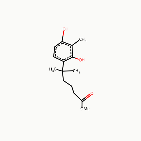 COC(=O)CCCC(C)(C)c1ccc(O)c(C)c1O